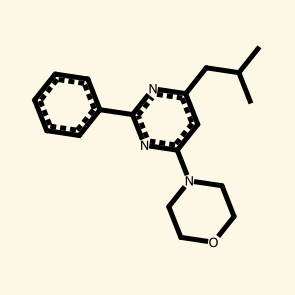 CC(C)Cc1cc(N2CCOCC2)nc(-c2ccccc2)n1